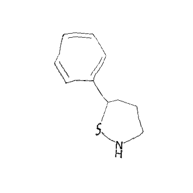 c1ccc(C2CCNS2)cc1